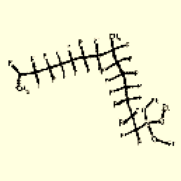 CCO[Si](OCC)(OCC)C(F)(F)C(F)(F)C(F)(F)C(F)(F)C(F)(F)C(F)(F)C(C)(F)C(F)(F)C(F)(F)C(F)(F)C(F)(F)C(F)(F)C(F)(F)C(C)F